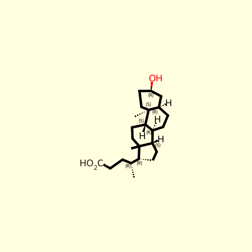 C[C@H](CCC(=O)O)[C@H]1CC[C@H]2[C@@H]3CC[C@@H]4C[C@H](O)CC[C@]4(C)[C@H]3CCC12C